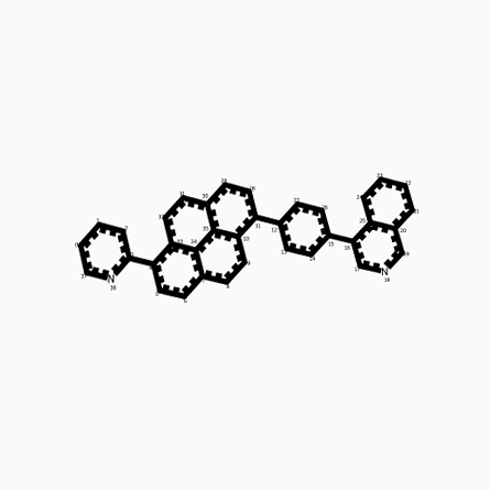 c1ccc(-c2ccc3ccc4c(-c5ccc(-c6cncc7ccccc67)cc5)ccc5ccc2c3c54)nc1